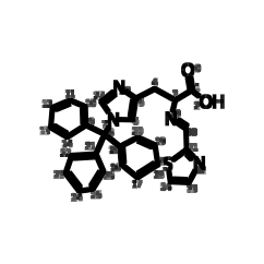 O=C(O)C(Cc1cn(C(c2ccccc2)(c2ccccc2)c2ccccc2)cn1)/N=C/c1nccs1